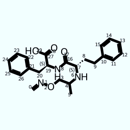 C=NOCC(C)N[C@@H](CCc1ccccc1)C(=O)N[C@@H](Cc1ccccc1)C(=O)O